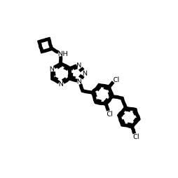 Clc1ccc(Cc2c(Cl)cc(Cn3nnc4c(NC5CCC5)ncnc43)cc2Cl)cc1